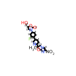 CC1(c2ccc(-c3ccc(N4C[C@H](CO)OC4=O)cc3F)cn2)Cn2cc([N+](=O)[O-])nc2O1